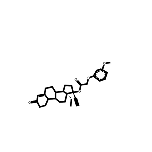 C#C[C@]1(OC(=O)COc2cccc(OC)c2)CCC2C3CCC4=CC(=O)CCC4C3CC[C@@]21CC